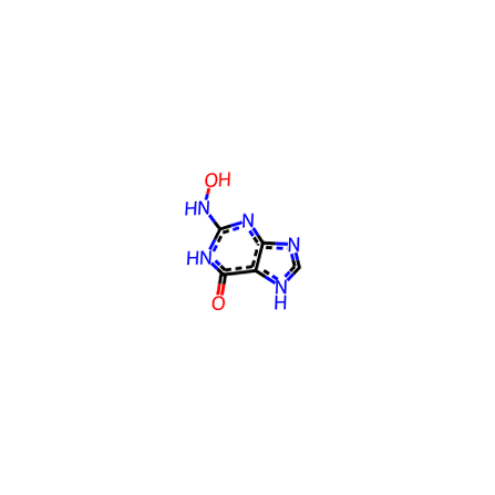 O=c1[nH]c(NO)nc2nc[nH]c12